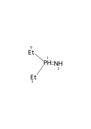 CC[PH](=N)CC